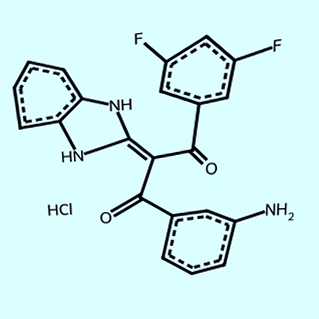 Cl.Nc1cccc(C(=O)C(C(=O)c2cc(F)cc(F)c2)=C2Nc3ccccc3N2)c1